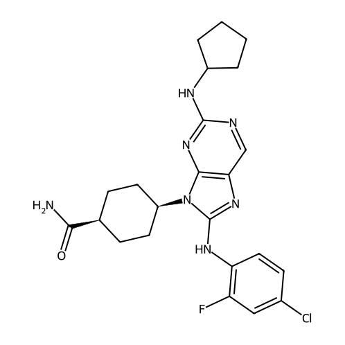 NC(=O)[C@H]1CC[C@@H](n2c(Nc3ccc(Cl)cc3F)nc3cnc(NC4CCCC4)nc32)CC1